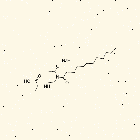 CCCCCCCCCCCC(=O)N(CCNC(C)C(=O)O)C(C)O.[NaH]